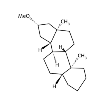 CO[C@H]1C[C@H]2[C@@H]3CC[C@H]4CCCC[C@]4(C)[C@H]3CC[C@]2(C)C1